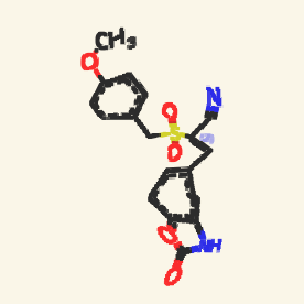 COc1ccc(CS(=O)(=O)/C(C#N)=C\c2ccc3oc(=O)[nH]c3c2)cc1